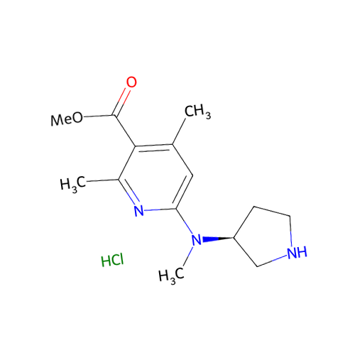 COC(=O)c1c(C)cc(N(C)[C@H]2CCNC2)nc1C.Cl